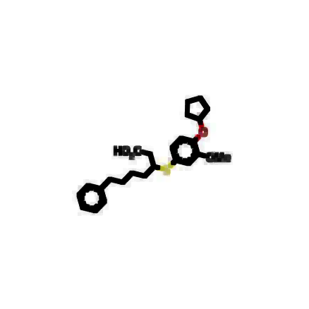 COc1cc(SC(CCCCc2ccccc2)CC(=O)O)ccc1OC1CCCC1